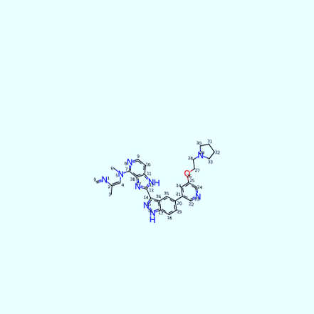 C=N/C(C)=C\N(C)c1nccc2[nH]c(-c3n[nH]c4ccc(-c5cncc(OCCN6CCCC6)c5)cc34)nc12